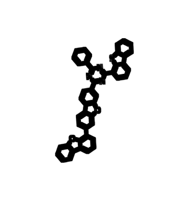 c1ccc(-c2nc(-c3ccc4c(c3)oc3cc(-c5cccc6c5oc5ccccc56)ccc34)nc(-c3cccc4c3sc3ccccc34)n2)cc1